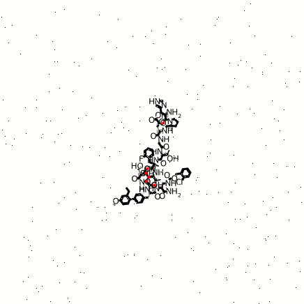 CCc1cc(OC)ccc1-c1ccc(C[C@H](NC(=O)[C@H](CC(=O)O)NC(=O)[C@H](CO)NC(=O)[C@@H](NC(=O)[C@](C)(Cc2ccccc2F)NC(=O)[C@@H](NC(=O)CNC(=O)[C@H](CCC(=O)O)NC(=O)[C@]2(C)CCCN2C(=O)[C@@H](N)Cc2c[nH]cn2)[C@@H](C)O)[C@@H](C)O)C(=O)N[C@@H](CNC(=O)OCc2ccccc2Cl)C(N)=O)cc1